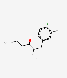 CCOC(=O)C(Cc1ccc(F)c(C(F)(F)F)c1)C(=O)CCOC